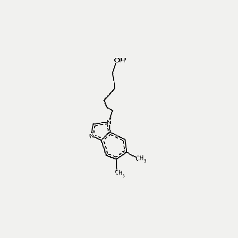 Cc1cc2ncn(CCCCO)c2cc1C